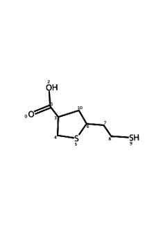 O=C(O)C1CSC(CCS)C1